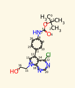 CC(C)(C)OC(=O)Nc1ccc(-c2cn(CCO)c3ncnc(Cl)c23)cc1